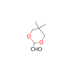 CC1(C)COC([C]=O)OC1